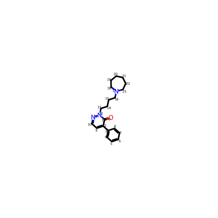 O=c1c(-c2ccccc2)ccnn1CCCCN1CCCCCC1